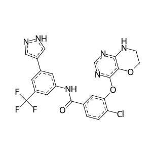 O=C(Nc1cc(-c2cn[nH]c2)cc(C(F)(F)F)c1)c1ccc(Cl)c(Oc2ncnc3c2OCCN3)c1